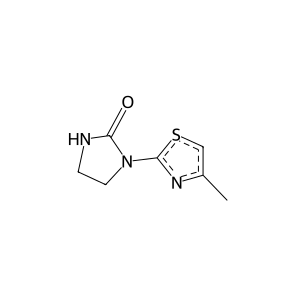 Cc1csc(N2CCNC2=O)n1